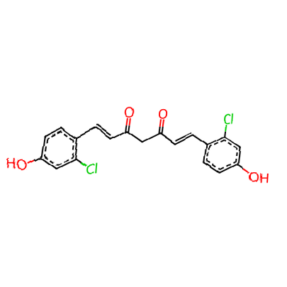 O=C(C=Cc1ccc(O)cc1Cl)CC(=O)C=Cc1ccc(O)cc1Cl